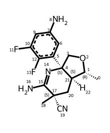 C[C@H]1OC[C@]2(c3cc(N)cc(F)c3F)N=C(N)[C@@](C)(C#N)C[C@H]12